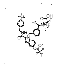 C[N+](C)(C)c1ccc(CNC(=O)c2cc3ccccc3n2Cc2cccc(C(=N)N)c2)cc1.O=C(O)C(F)(F)F.O=C([O-])C(F)(F)F